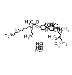 CC[C@H](CC[C@@H](C)[C@H]1CC[C@H]2[C@@H]3CC=C4C[C@@H](OC(=O)[C@H](C)N(CCCN)CCCCNCCCN)CC[C@]4(C)[C@H]3CC[C@]12C)C(C)C.Cl.Cl.Cl.Cl